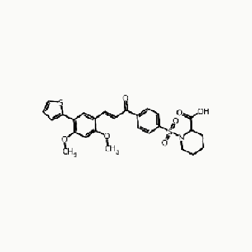 COc1cc(OC)c(-c2cccs2)cc1C=CC(=O)c1ccc(S(=O)(=O)N2CCCCC2C(=O)O)cc1